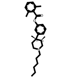 CCCCCCN1CC[C@](C)(c2cccc(OC(=O)c3c(C)cccc3C)c2)[C@@H](C)C1